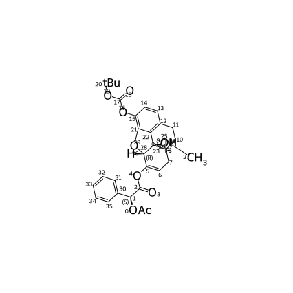 CC(=O)O[C@H](C(=O)OC1=CC[C@]2(O)C3Cc4ccc(OC(=O)OC(C)(C)C)c5c4[C@@]2(CCN3C)[C@H]1O5)c1ccccc1